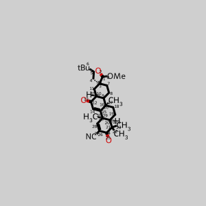 COC(=O)[C@@]1(CCC(C)(C)C)CCC2[C@@H](C1)C(=O)C=C1[C@@]2(C)CC[C@H]2C(C)(C)C(=O)C(C#N)=C[C@]12C